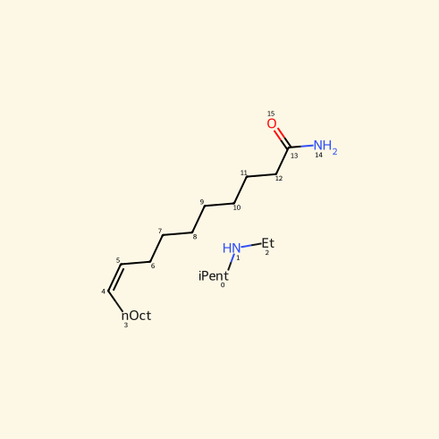 CCCC(C)NCC.CCCCCCCC/C=C\CCCCCCCC(N)=O